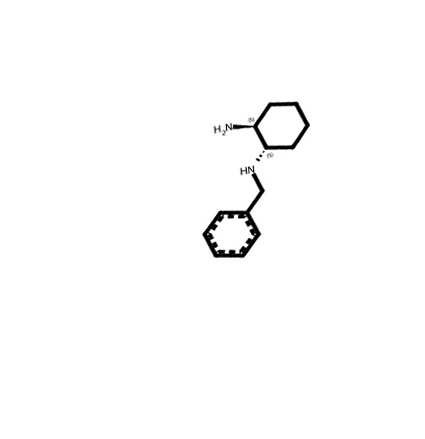 N[C@H]1CCCC[C@@H]1NCc1ccccc1